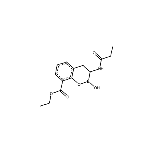 CCOC(=O)c1cccc2c1OB(O)C(NC(=O)CC)C2